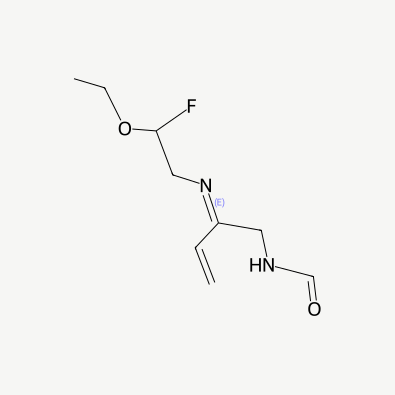 C=C/C(CNC=O)=N\CC(F)OCC